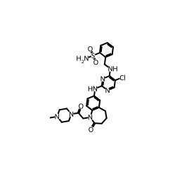 CN1CCN(C(=O)CN2C(=O)CCCc3cc(Nc4ncc(Cl)c(NCc5ccccc5S(N)(=O)=O)n4)ccc32)CC1